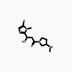 CNC1CCN(C(=O)CC(O)c2ncc(Cl)n2C)C1